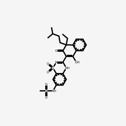 CCC1(CCC(C)C)C(=O)C(C2=NS(=O)(=O)c3cc(NS(C)(=O)=O)ccc3N2)=C(O)c2ccccc21